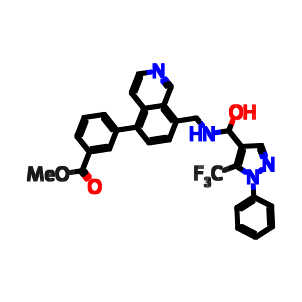 COC(=O)c1cccc(-c2ccc(CNC(O)c3cnn(-c4ccccc4)c3C(F)(F)F)c3cnccc23)c1